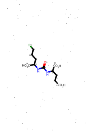 O=C(O)CCC(NC(=O)NC(CCCF)C(=O)O)C(=O)O